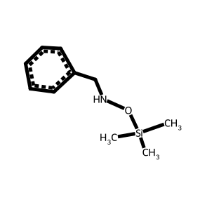 C[Si](C)(C)ONCc1ccccc1